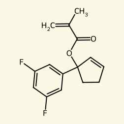 C=C(C)C(=O)OC1(c2cc(F)cc(F)c2)C=CCC1